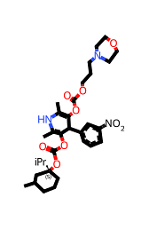 CC1=C(OC(=O)OCCCN2CCOCC2)C(c2cccc([N+](=O)[O-])c2)C(OC(=O)O[C@@]2(C(C)C)CCCC(C)C2)=C(C)N1